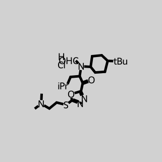 CC(C)CC(C(=O)c1nnc(SCCN(C)C)o1)N(C=O)C1CCC(C(C)(C)C)CC1.Cl